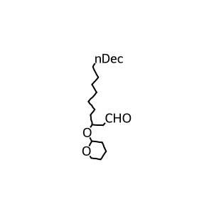 CCCCCCCCCCCCCCCCCC(CC=O)OC1CCCCO1